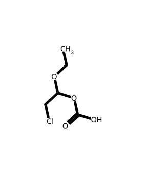 CCOC(CCl)OC(=O)O